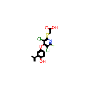 CC(C)c1cc(Oc2c(Cl)c(F)nc(SCC(=O)O)c2Cl)ccc1O